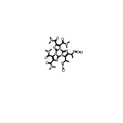 CC(N=C=O)c1nc2n3c(C(=O)N(C)C)c(C(=O)N(C)C)nc3n3c(C(=O)N(C)C)c(C(=O)N(C)C)nc3n2c1C(C)N=C=O